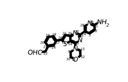 Nc1ccc(-c2nc(N3CCOCC3)c3sc(-c4cccc(CC=O)c4)cc3n2)cn1